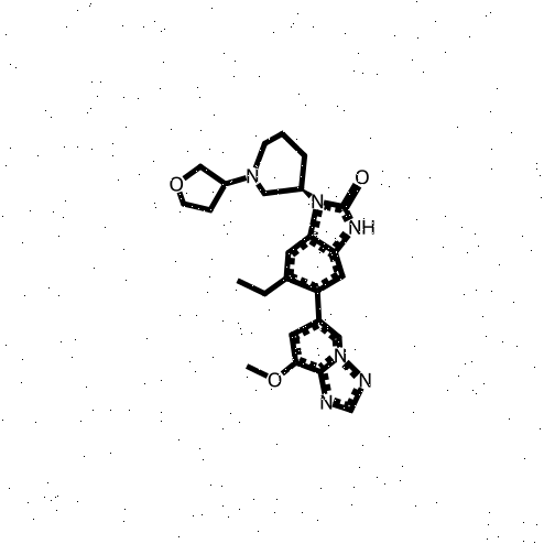 CCc1cc2c(cc1-c1cc(OC)c3ncnn3c1)[nH]c(=O)n2[C@@H]1CCCN(C2CCOC2)C1